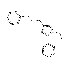 CCn1cc(CCCc2ccccc2)nc1-c1ccccc1